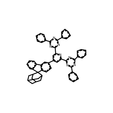 c1ccc(-c2nc(-c3ccccc3)nc(-c3cc(-c4ccc5c(c4)-c4ccccc4C54C5CC6CC(C5)CC4C6)cc(-c4nc(-c5ccccc5)nc(-c5ccccc5)n4)n3)n2)cc1